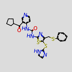 O=C(Nc1nc(CSc2ccccc2)c(Sc2ncc[nH]2)s1)Nc1ccncc1C(=O)C1CCCC1